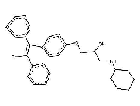 CC/C(=C(\c1ccccc1)c1ccc(OCC(O)CNC2CCCCC2)cc1)c1ccccc1